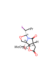 CCCC(I)[C@H]1OC[C@@]2(C(=O)OC)N1C(=O)[C@@H]1CC(=O)O[C@@]12C